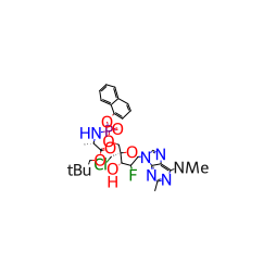 CNc1nc(C)nc2c1ncn2[C@@H]1O[C@](CCl)(COP(=O)(N[C@@H](C)C(=O)OCC(C)(C)C)Oc2cccc3ccccc23)[C@@H](O)[C@@H]1F